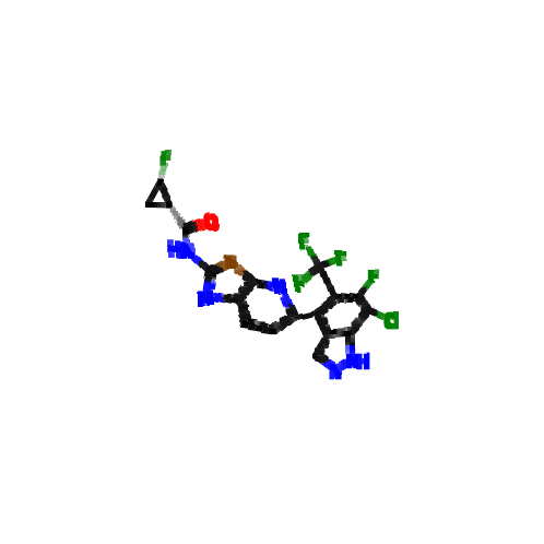 O=C(Nc1nc2ccc(-c3c(C(F)(F)F)c(F)c(Cl)c4[nH]ncc34)nc2s1)[C@@H]1C[C@@H]1F